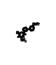 CCCOc1cccc(-c2cccc(C3(C)CC(=O)N(C)C(N)=N3)c2)c1